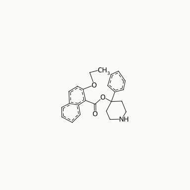 CCOc1ccc2ccccc2c1C(=O)OC1(c2ccccc2)CCNCC1